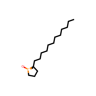 CCCCCCCCCCCCC1=[P+]([O-])CCC1